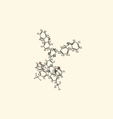 CC(C)(C)c1cc(C(C)(C)C)c2c(c1)c1cc(C(C)(C)C)cc(C(C)(C)C)c1n2-c1c(-c2ccccc2)cc(-c2nc(-c3ccc4c(c3)sc3ccccc34)nc(-c3ccc4c(c3)sc3ccccc34)n2)cc1-c1ccccc1